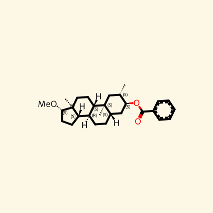 CO[C@H]1CC[C@H]2[C@@H]3CC[C@H]4C[C@H](OC(=O)c5ccccc5)[C@@H](C)C[C@]4(C)[C@H]3CC[C@]12C